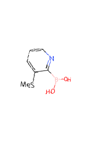 CSc1cccnc1B(O)O